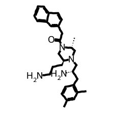 Cc1ccc(C[C@H](N)CN2C[C@@H](C)N(C(=O)Cc3ccc4ccccc4c3)C[C@@H]2CCCN)c(C)c1